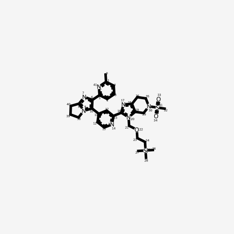 Cc1cccc(-c2nc3n(c2-c2ccnc(-c4nc5c(n4COCC[Si](C)(C)C)CN(S(C)(=O)=O)CC5)c2)CCC3)n1